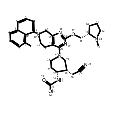 Cc1cccc2cccc(N3CCc4c(nc(OC[C@@H]5CCCN5C)nc4N4CC[C@@H](NC(=O)O)[C@@H](CC#N)C4)C3)c12